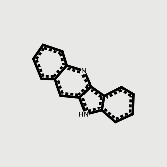 c1ccc2nc3c(cc2c1)[nH]c1ccccc13